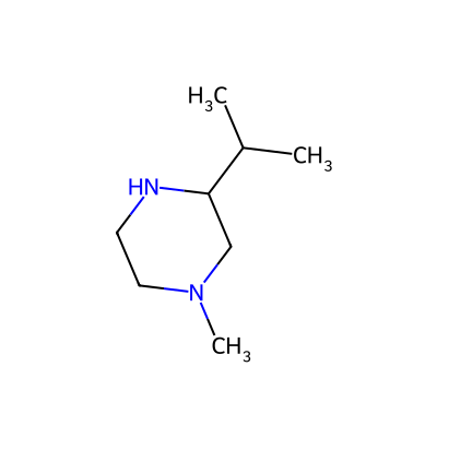 CC(C)C1CN(C)CCN1